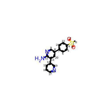 CS(=O)(=O)c1ccc(-c2cnc(N)c(-c3cccnc3)c2)cc1